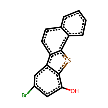 Oc1cc(Br)cc2c1sc1c3ccccc3ccc21